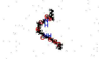 CCCCC(C)(CC)OC(=O)NCCOC(C)(C)CCOC(C)(C)CCC(=O)NCCOCCOCOC(C)(C)CC